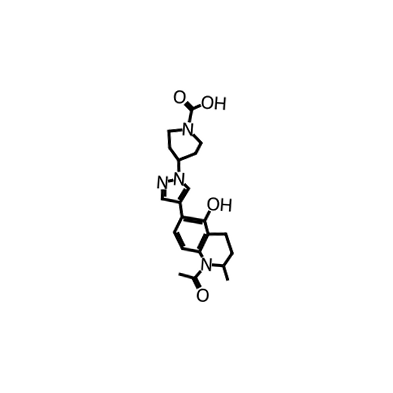 CC(=O)N1c2ccc(-c3cnn(C4CCN(C(=O)O)CC4)c3)c(O)c2CCC1C